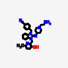 Cc1ccc(O)c(Cn2/c(=N/C3CCN(CCN)CC3)n(Cc3ccc(C#N)cc3)c3ccccc32)n1